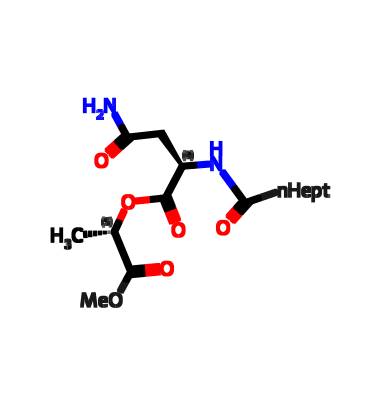 CCCCCCCC(=O)N[C@H](CC(N)=O)C(=O)O[C@@H](C)C(=O)OC